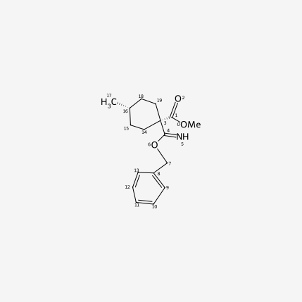 COC(=O)[C@]1(C(=N)OCc2ccccc2)CC[C@H](C)CC1